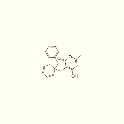 Cc1cc(O)c(CC2(Cc3ccccc3)C=CC=CC2)c(=O)o1